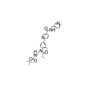 CCC(=O)N(CCNC(=O)OC(C)(C)C)c1ccc(-c2ccc(C(=O)NCc3cccnc3)cn2)cc1C